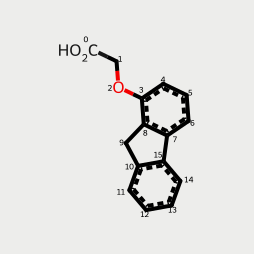 O=C(O)COc1cccc2c1Cc1ccccc1-2